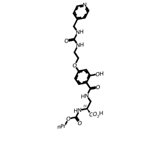 CCCOC(=O)N[C@@H](CNC(=O)c1ccc(OCCNC(=O)NCc2ccncc2)cc1O)C(=O)O